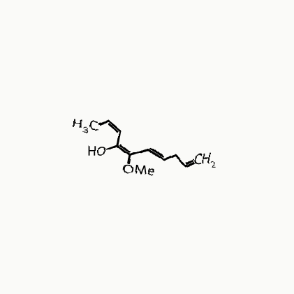 C=CC/C=C/C(OC)=C(O)\C=C/C